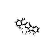 CC1(C)c2ccccc2-c2ccc(-c3c(Cl)cccc3Br)cc21